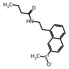 CCCC(=O)NCCc1cccc2ccc([S+](C)[O-])cc12